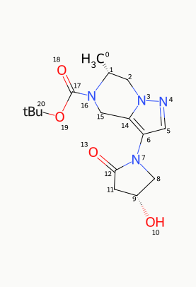 C[C@@H]1Cn2ncc(N3C[C@H](O)CC3=O)c2CN1C(=O)OC(C)(C)C